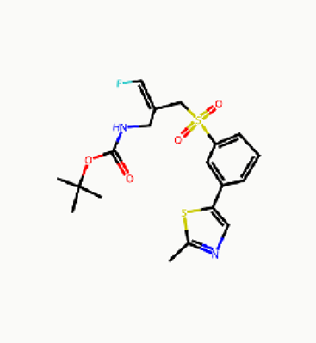 Cc1ncc(-c2cccc(S(=O)(=O)C/C(=C/F)CNC(=O)OC(C)(C)C)c2)s1